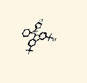 CC(C)(C)c1ccc2c(c1)-c1cc(C(C)(C)C)ccc1[CH]2[Zr+2]([C]1=CC=CC1)=[C]1CCCCC1.[Cl-].[Cl-]